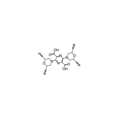 N#CC1CN(c2nc(C(=O)O)c(N3CC(C#N)OC(C#N)C3)nc2C(=O)O)CC(C#N)O1